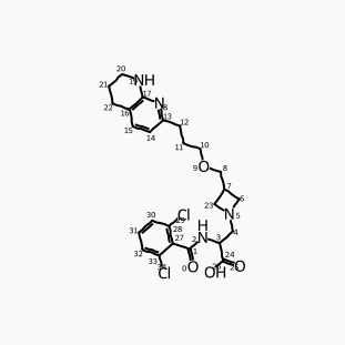 O=C(NC(CN1CC(COCCCc2ccc3c(n2)NCCC3)C1)C(=O)O)c1c(Cl)cccc1Cl